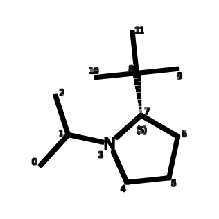 CC(C)N1CCC[C@H]1C(C)(C)C